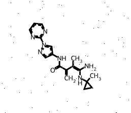 C=C(C(=O)Nc1cnn(-c2ncccn2)c1)/C(C)=C(/N)NC1(C)CC1